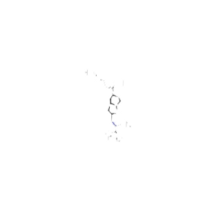 CN(CCOC=O)c1ccc2oc(/C=C(\C#N)C(=O)OC(C)(C)C)cc2c1